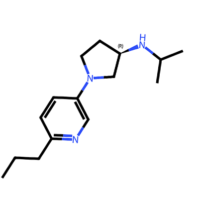 CCCc1ccc(N2CC[C@@H](NC(C)C)C2)cn1